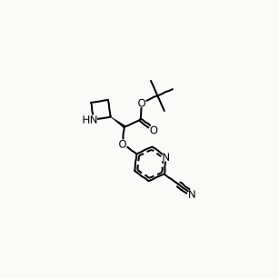 CC(C)(C)OC(=O)C(Oc1ccc(C#N)nc1)[C@@H]1CCN1